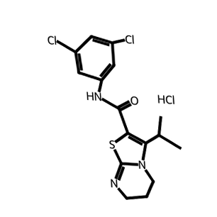 CC(C)C1=C(C(=O)Nc2cc(Cl)cc(Cl)c2)SC2=NCCCN21.Cl